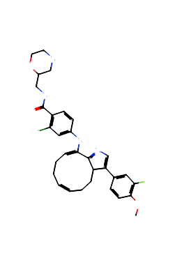 COc1ccc(C2=CN=C3/C(Nc4ccc(C(=O)NCC5CNCCO5)c(Cl)c4)=C\CC/C=C\CCC23)cc1F